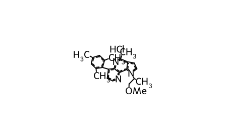 COCC(C)n1ccc2c(C)nc3c(-c4c(C)cc(C)cc4C)ccnc3c21.Cl